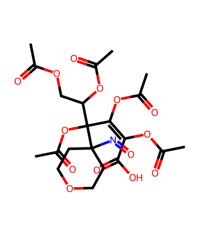 CC(=O)OCC(OC(C)=O)C(OC(C)=O)(C(OC(C)=O)=C(OC(C)=O)C(=O)O)C1(N=O)CCOCC1